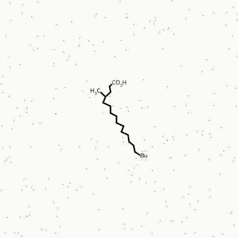 CCC(C)CCCCCCCCCCCC(C)CCC(=O)O